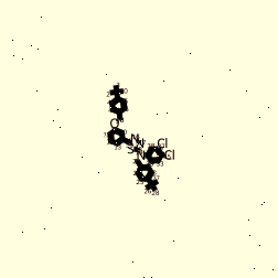 CC(C)(C)c1ccc(COc2cccc(-c3nnc(N(Cc4ccc(C(C)(C)C)cc4)c4ccc(Cl)c(Cl)c4)s3)c2)cc1